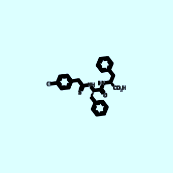 O=C(O)[C@H](Cc1ccccc1)NC(=O)[C@H](Cc1ccccc1)NC(=S)Cc1ccc(Cl)cc1